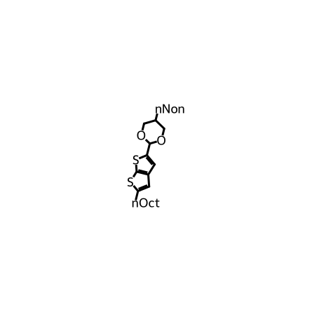 CCCCCCCCCC1COC(c2cc3cc(CCCCCCCC)sc3s2)OC1